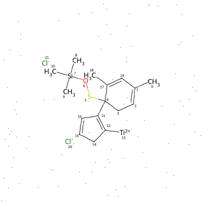 CC1=CCC(SO[Si](C)(C)C)(C2=[C]([Ti+2])CC=C2)C(C)=C1.[Cl-].[Cl-]